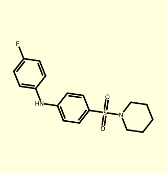 O=S(=O)(c1ccc(Nc2ccc(F)cc2)cc1)N1CCCCC1